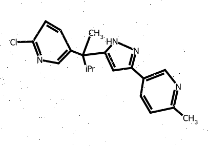 Cc1ccc(-c2cc(C(C)(c3ccc(Cl)nc3)C(C)C)[nH]n2)cn1